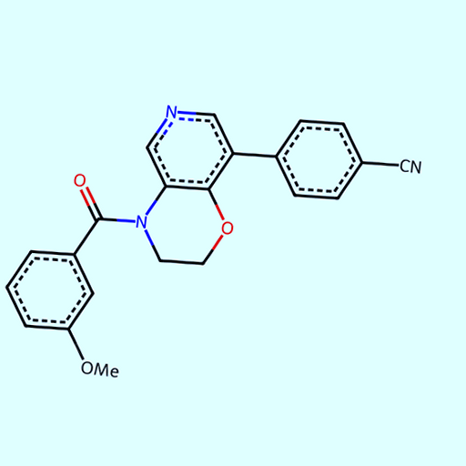 COc1cccc(C(=O)N2CCOc3c(-c4ccc(C#N)cc4)cncc32)c1